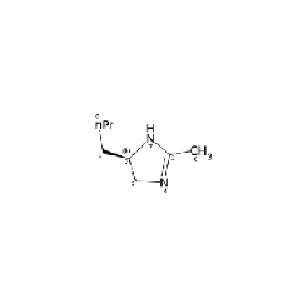 CCCC[C@@H]1CN=C(C)N1